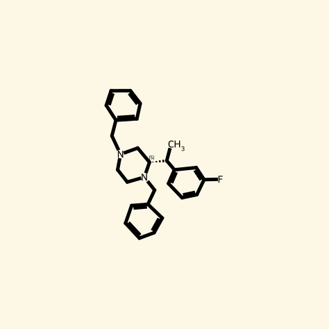 CC(c1cccc(F)c1)[C@H]1CN(Cc2ccccc2)CCN1Cc1ccccc1